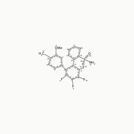 COc1cc(-c2c(F)c(F)c(F)c(F)c2-c2ccccc2S(N)(=O)=O)ccc1C